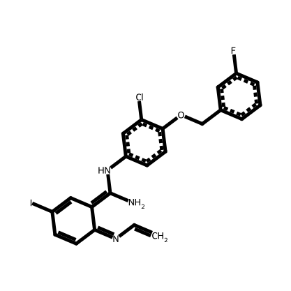 C=C/N=C1/C=CC(I)=C/C1=C(/N)Nc1ccc(OCc2cccc(F)c2)c(Cl)c1